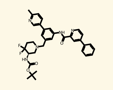 Cc1ccc(-c2cc(CN3CCC(F)(F)[C@H](NC(=O)OC(C)(C)C)C3)cc(NC(=O)c3cc(-c4ccccc4)ccn3)c2)cn1